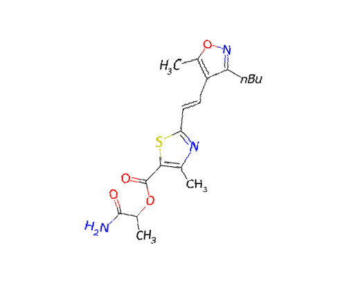 CCCCc1noc(C)c1C=Cc1nc(C)c(C(=O)OC(C)C(N)=O)s1